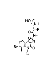 Cc1c(Br)ccc2c3oc(N(C)C(=O)C(F)CNC(=O)O)nc3c(=O)n(C3CC3)c12